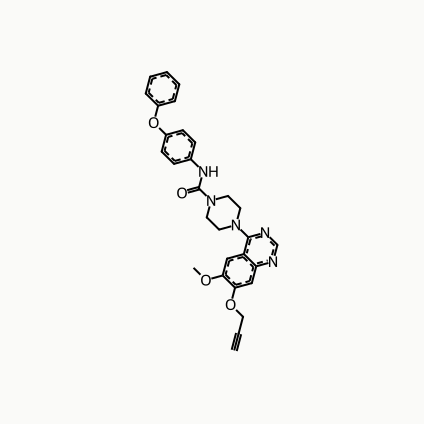 C#CCOc1cc2ncnc(N3CCN(C(=O)Nc4ccc(Oc5ccccc5)cc4)CC3)c2cc1OC